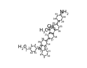 C=Cc1ccc(-n2c3ccccc3c3cc(-c4ccc5c(c4)C(C)(C)c4cc(-c6ccc(N)cc6)ccc4-5)ccc32)cc1